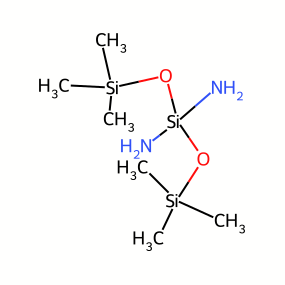 C[Si](C)(C)O[Si](N)(N)O[Si](C)(C)C